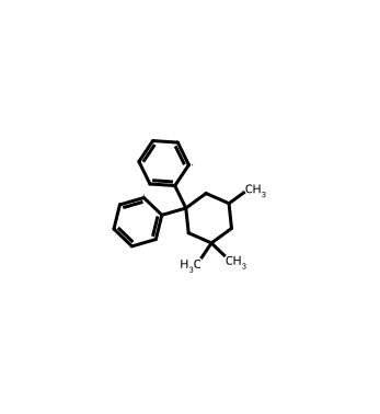 CC1CC(C)(C)CC(c2[c]cccc2)(c2[c]cccc2)C1